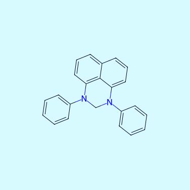 c1ccc(N2CN(c3ccccc3)c3cccc4cccc2c34)cc1